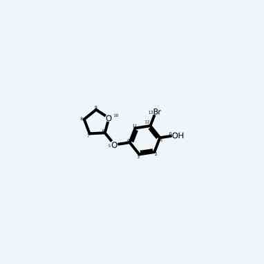 Oc1ccc(OC2CCCO2)cc1Br